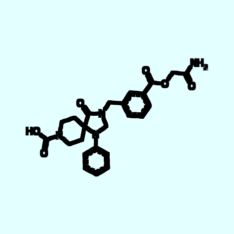 NC(=O)COC(=O)c1cccc(CN2CN(c3ccccc3)C3(CCN(C(=O)O)CC3)C2=O)c1